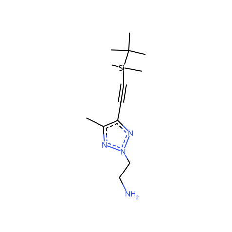 Cc1nn(CCN)nc1C#C[Si](C)(C)C(C)(C)C